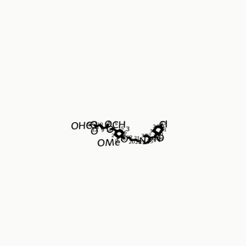 COc1cc(C(C)OC(=O)/C=C/C(=O)OC=O)ccc1OCCCCN1CCC(c2noc3cc(Cl)ccc23)CC1